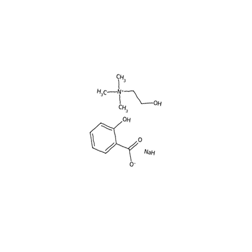 C[N+](C)(C)CCO.O=C([O-])c1ccccc1O.[NaH]